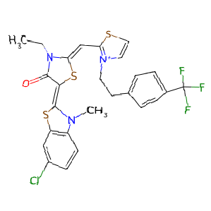 CCn1c(=O)/c(=C2\Sc3cc(Cl)ccc3N2C)s/c1=C\c1scc[n+]1CCc1ccc(C(F)(F)F)cc1